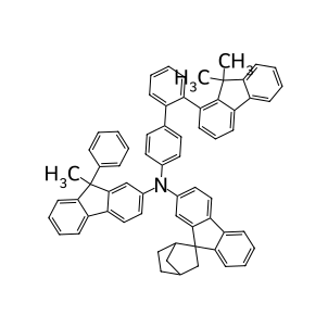 CC1(C)c2ccccc2-c2cccc(-c3ccccc3-c3ccc(N(c4ccc5c(c4)C(C)(c4ccccc4)c4ccccc4-5)c4ccc5c(c4)C4(CC6CCC4C6)c4ccccc4-5)cc3)c21